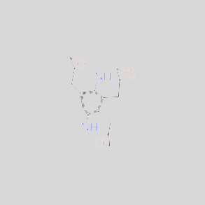 Nc1cc(CC2CO2)c(N)c(CC2CO2)c1CC1CO1